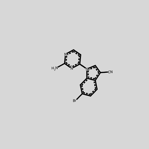 N#Cc1cn(-c2ccnc(N)n2)c2cc(Br)ccc12